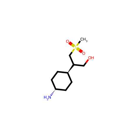 CS(=O)(=O)CC(CO)[C@H]1CC[C@H](N)CC1